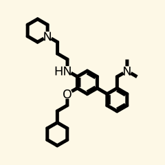 CN(C)Cc1ccccc1-c1ccc(NCCCN2CCCCC2)c(OCCC2CCCCC2)c1